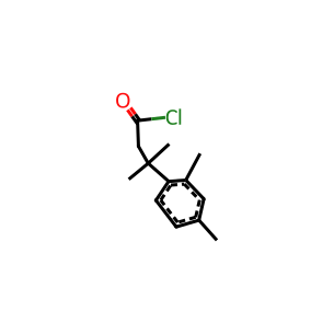 Cc1ccc(C(C)(C)CC(=O)Cl)c(C)c1